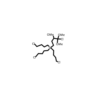 COC(CC[Si](CCCCCl)(CCCCCl)CCCCCl)C(Cl)(OC)OC